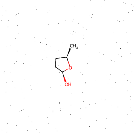 C[C@@H]1CC[C@H](O)O1